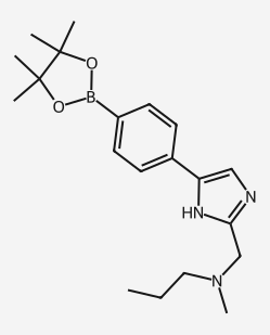 CCCN(C)Cc1ncc(-c2ccc(B3OC(C)(C)C(C)(C)O3)cc2)[nH]1